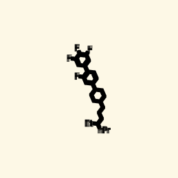 CCCC(CC)CCCC1CCC(c2ccc(-c3cc(F)c(F)c(F)c3)c(F)c2)CC1